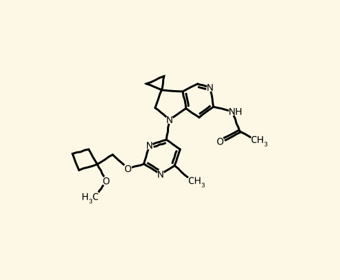 COC1(COc2nc(C)cc(N3CC4(CC4)c4cnc(NC(C)=O)cc43)n2)CCC1